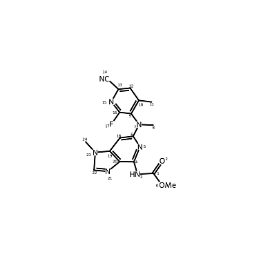 COC(=O)Nc1nc(N(C)c2c(C)cc(C#N)nc2F)cc2c1ncn2C